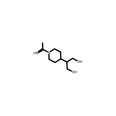 CC(=N)N1CCC(C(CO)CO)CC1